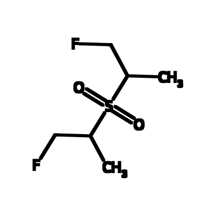 CC(CF)S(=O)(=O)C(C)CF